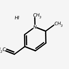 C=CC1=CN(C)C(C)C=C1.I